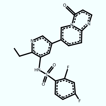 CCc1ncc(-c2ccc3nccc(=O)n3c2)cc1NS(=O)(=O)c1ccc(F)cc1F